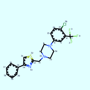 FC(F)(F)c1cc(N2CCN(Cc3nc(-c4ccccc4)cs3)CC2)ccc1Cl